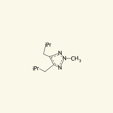 CC(C)Cc1nn(C)nc1CC(C)C